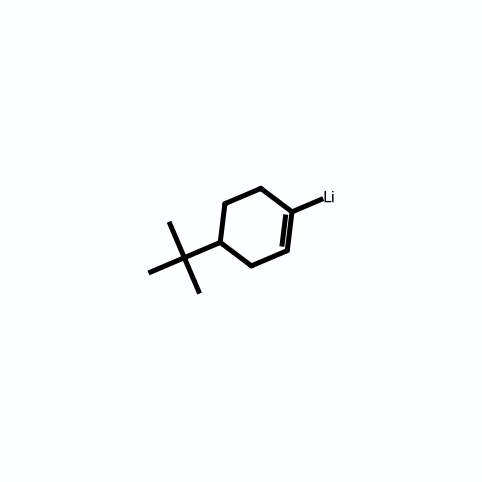 [Li][C]1=CCC(C(C)(C)C)CC1